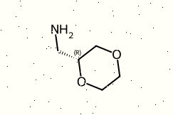 NC[C@@H]1COCCO1